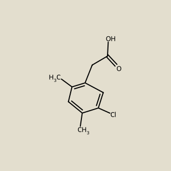 Cc1cc(C)c(CC(=O)O)cc1Cl